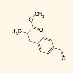 COC(=O)C(C)Cc1ccc(C=O)cc1